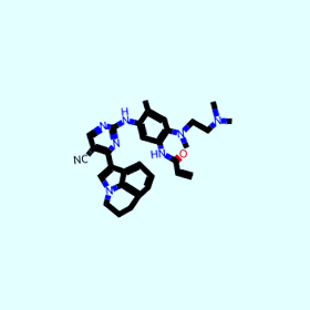 C=CC(=O)Nc1cc(Nc2ncc(C#N)c(-c3cn4c5c(cccc35)CCC4)n2)c(C)cc1N(C)CCN(C)C